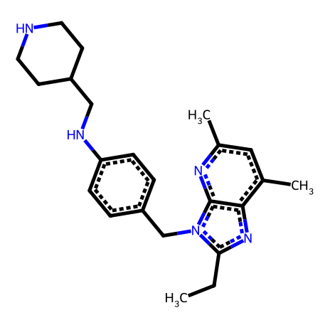 CCc1nc2c(C)cc(C)nc2n1Cc1ccc(NCC2CCNCC2)cc1